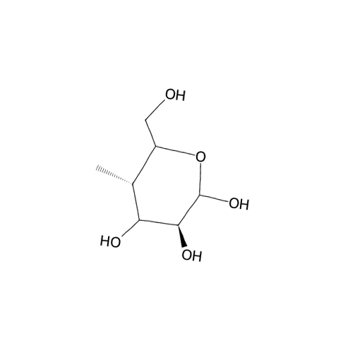 C[C@@H]1C(CO)OC(O)[C@@H](O)C1O